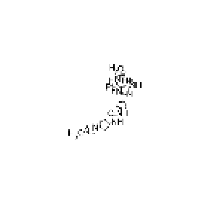 CN1CCN(c2ccc(NC(=O)Nc3ccc(-c4nc(C(N5C[C@@H]6C[C@H]5CO6)C(F)(F)F)c5cn[nH]c5n4)cc3)cc2)CC1